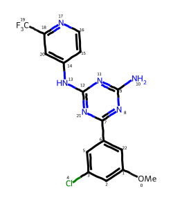 COc1cc(Cl)cc(-c2nc(N)nc(Nc3ccnc(C(F)(F)F)c3)n2)c1